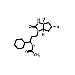 CC(=O)OC(CCN1C(=O)N[C@H]2C[C@@H](O)C[C@H]21)C1CCCCC1